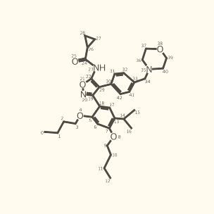 CCCCOc1cc(OCCCC)c(C(C)C)cc1-c1noc(NC(=O)C2CC2)c1-c1ccc(CN2CCOCC2)cc1